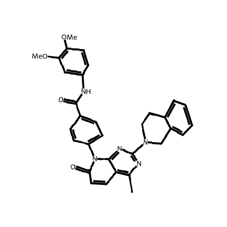 COc1ccc(NC(=O)c2ccc(-n3c(=O)ccc4c(C)nc(N5CCc6ccccc6C5)nc43)cc2)cc1OC